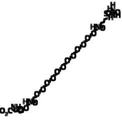 NC(Cc1ccc(OCCNC(=O)CCOCCOCCOCCOCCOCCOCCOCCOCCOCCOCCOCCOCCNC(=O)CCCC[C@@H]2SC[C@@H]3NC(=O)N[C@@H]32)cc1)C(=O)O